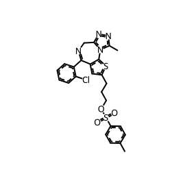 Cc1ccc(S(=O)(=O)OCCCc2cc3c(s2)-n2c(C)nnc2CN=C3c2ccccc2Cl)cc1